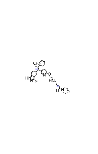 O=C(/C=C/CNCCOc1ccc(/C(=C(/CC(F)(F)F)c2ccccc2)c2ccc3[nH]nc(F)c3c2)cn1)N1CCOCC1